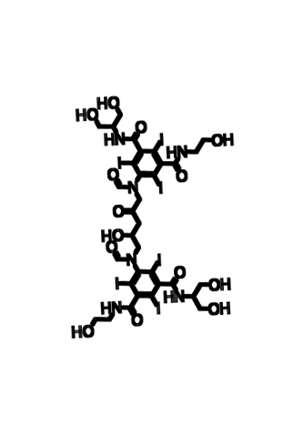 O=CN(CC(=O)CC(O)CN(C=O)c1c(I)c(C(=O)NCCO)c(I)c(C(=O)NC(CO)CO)c1I)c1c(I)c(C(=O)NCCO)c(I)c(C(=O)NC(CO)CO)c1I